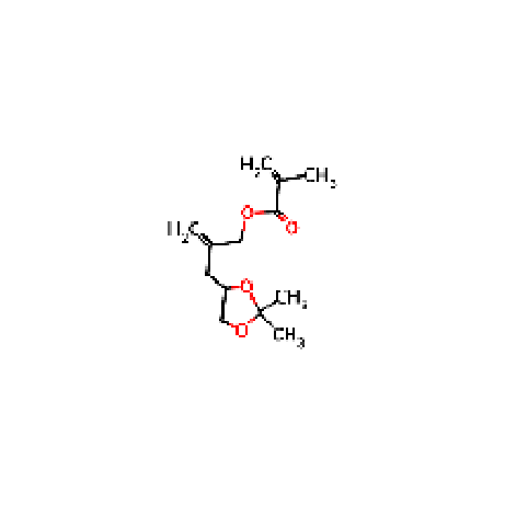 C=C(COC(=O)C(=C)C)CC1COC(C)(C)O1